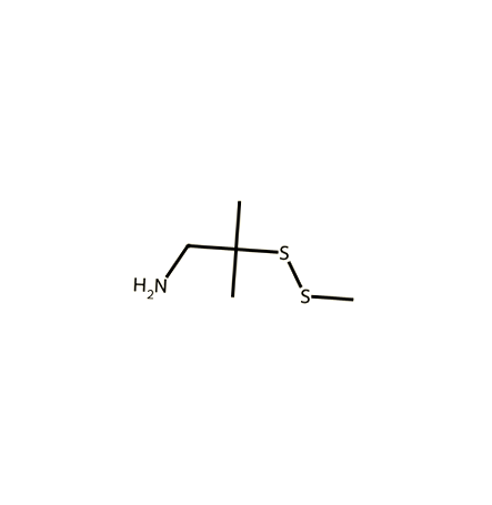 CSSC(C)(C)CN